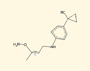 C/C(=C/CNc1ccc(C2(C#N)CC2)cc1)ON